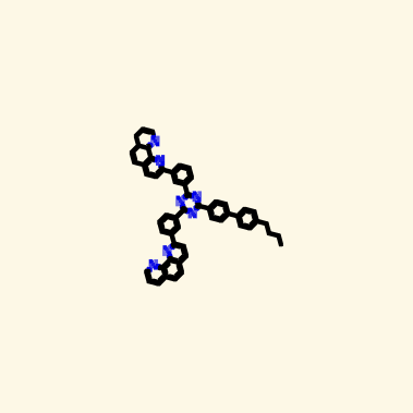 CCCCc1ccc(-c2ccc(-c3nc(-c4cccc(-c5ccc6c(n5)C5=NC=CCC5C=C6)c4)nc(-c4cccc(-c5ccc6ccc7cccnc7c6n5)c4)n3)cc2)cc1